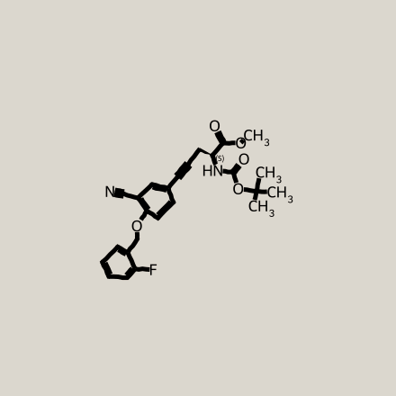 COC(=O)[C@H](CC#Cc1ccc(OCc2ccccc2F)c(C#N)c1)NC(=O)OC(C)(C)C